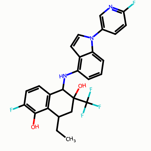 CCC1CC(O)(C(F)(F)F)C(Nc2cccc3c2ccn3-c2ccc(F)nc2)c2ccc(F)c(O)c21